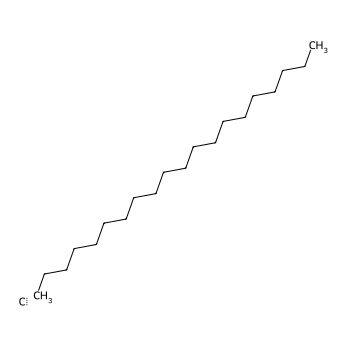 CCCCCCCCCCCCCCCCCCCC.[C]